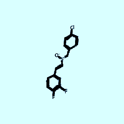 [O-][S+](C=Cc1ccc(F)c(F)c1)Cc1ccc(Cl)cc1